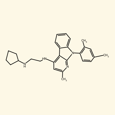 Cc1ccc(-n2c3ccccc3c3c(NCCNC4CCCC4)cc(C)nc32)c(C)c1